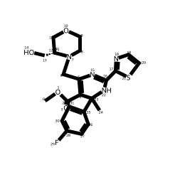 COC(=O)C1=C(CN2CCOC[C@H]2CO)N=C(c2nccs2)NC1(C)c1ccc(F)cc1